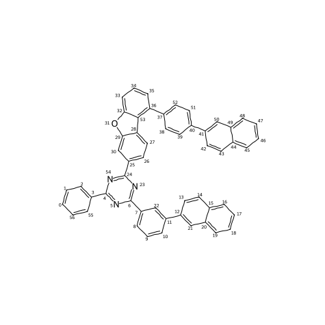 c1ccc(-c2nc(-c3cccc(-c4ccc5ccccc5c4)c3)nc(-c3ccc4c(c3)oc3cccc(-c5ccc(-c6ccc7ccccc7c6)cc5)c34)n2)cc1